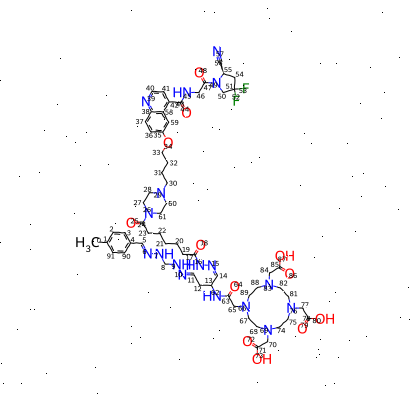 Cc1ccc(/C=N/NCN/N=C/CC(/C=N\NC(=O)CCCCCC(=O)N2CCN(CCCCOc3ccc4nccc(C(=O)NCC(=O)N5CC(F)(F)C[C@@H]5C#N)c4c3)CC2)NC(=O)CN2CCN(CC(=O)O)CCN(CC(=O)O)CCN(CC(=O)O)CC2)cc1